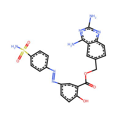 Nc1nc(N)c2cc(COC(=O)c3cc(N=Nc4ccc(S(N)(=O)=O)cc4)ccc3O)ccc2n1